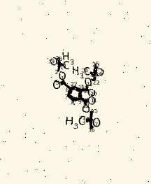 CC1(COC(=O)c2ccc(C(=O)OCC3(C)CO3)c(C(=O)OCC3(C)CO3)c2)CO1